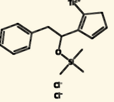 C[Si](C)(C)OC(Cc1ccccc1)C1=[C]([Ti+2])CC=C1.[Cl-].[Cl-]